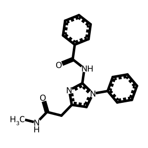 CNC(=O)Cc1cn(-c2ccccc2)c(NC(=O)c2ccccc2)n1